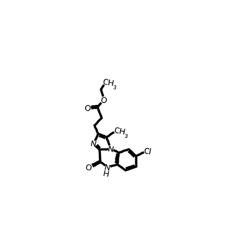 CCOC(=O)CCc1nc2c(=O)[nH]c3ccc(Cl)cc3n2c1C